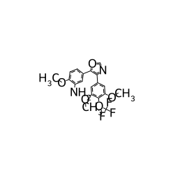 COc1ccc(-c2ocnc2-c2cc(OC)c(OC(F)(F)F)c(OC)c2)cc1N